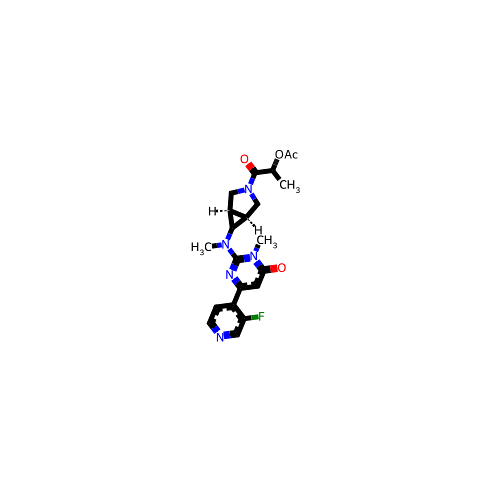 CC(=O)OC(C)C(=O)N1C[C@@H]2C(N(C)c3nc(-c4ccncc4F)cc(=O)n3C)[C@@H]2C1